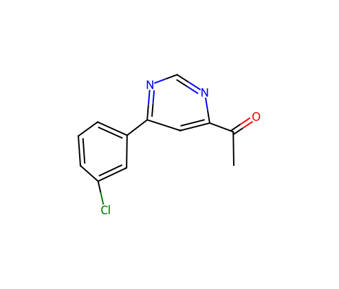 CC(=O)c1cc(-c2cccc(Cl)c2)ncn1